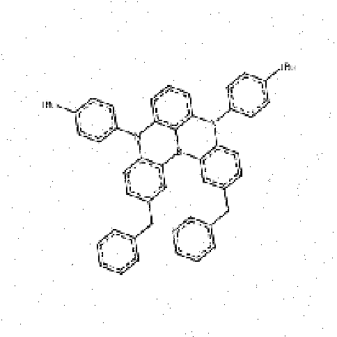 CC(C)(C)c1ccc(N2c3ccc(Cc4ccccc4)cc3B3c4cc(Cc5ccccc5)ccc4N(c4ccc(C(C)(C)C)cc4)c4cccc2c43)cc1